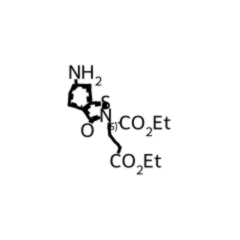 CCOC(=O)CC[C@@H](C(=O)OCC)n1sc2cc(N)ccc2c1=O